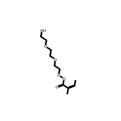 CC=C(C)C(=O)OOCCOCCOCCO